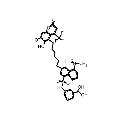 CN(C)c1cccc2c(S(=O)(=O)Nc3cccc(B(O)O)c3)cc(CCCCCCc3c(O)c(O)cc4oc(=O)cc(C(F)(F)F)c34)cc12